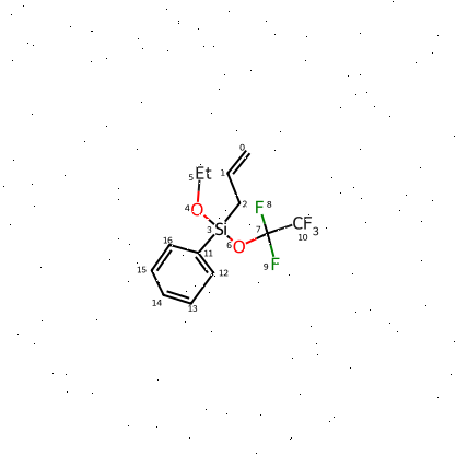 C=CC[Si](OCC)(OC(F)(F)C(F)(F)F)c1ccccc1